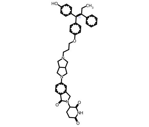 CC/C(=C(\c1ccc(O)cc1)c1ccc(OCCCN2CC3CN(c4ccc5c(c4)CN(C4CCC(=O)NC4=O)C5=O)CC3C2)cc1)c1ccccc1